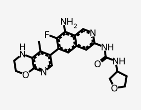 Cc1c(-c2cc3cc(NC(=O)NC4CCOC4)ncc3c(N)c2F)cnc2c1NCCO2